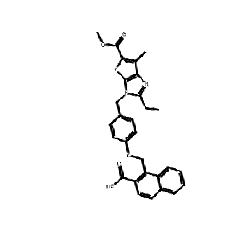 CCc1nc2c(C)c(C(=O)OC)sc2n1Cc1ccc(OCc2c(C(=O)O)ccc3ccccc23)cc1